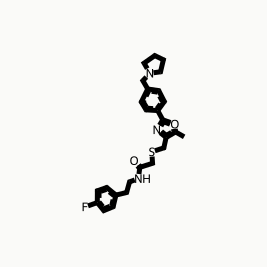 Cc1oc(-c2ccc(CN3CCCC3)cc2)nc1CSCC(=O)NCCc1ccc(F)cc1